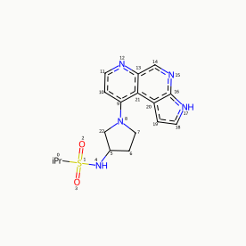 CC(C)S(=O)(=O)NC1CCN(c2ccnc3cnc4[nH]ccc4c23)C1